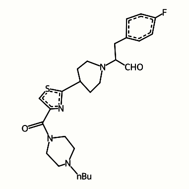 CCCCN1CCN(C(=O)c2csc(C3CCN(C(C=O)Cc4ccc(F)cc4)CC3)n2)CC1